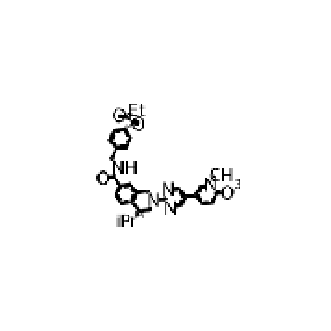 CCS(=O)(=O)c1ccc(CNC(=O)c2ccc3c(c2)CN(c2ncc(-c4ccc(=O)n(C)c4)cn2)C[C@H]3C(C)C)cc1